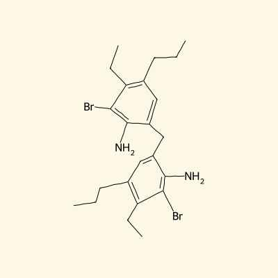 CCCc1cc(Cc2cc(CCC)c(CC)c(Br)c2N)c(N)c(Br)c1CC